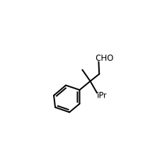 CC(C)C(C)(CC=O)c1ccccc1